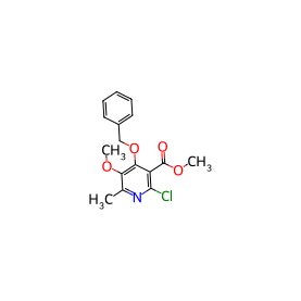 COC(=O)c1c(Cl)nc(C)c(OC)c1OCc1ccccc1